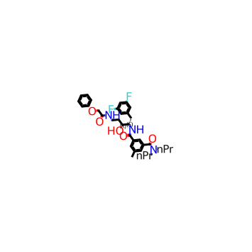 CCCN(CCC)C(=O)c1cc(C)cc(C(=O)N[C@@H](Cc2cc(F)cc(F)c2)[C@H](O)CCNC(=O)COc2ccccc2)c1